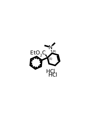 CCOC(=O)[C@]1(c2ccccc2)CCC=C[C@H]1N(C)C.Cl.Cl